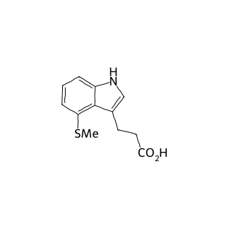 CSc1cccc2[nH]cc(CCC(=O)O)c12